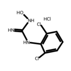 Cl.N=C(NO)Nc1c(Cl)cccc1Cl